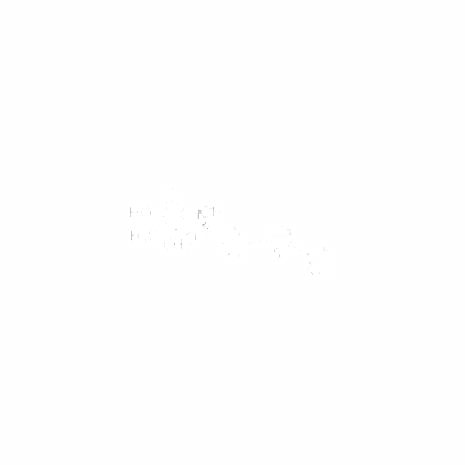 CC(C)(O)C(C)(C)OB(O)c1ccc(-c2ccc(-c3cccs3)s2)s1